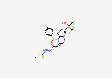 CSC(=S)NNC(=O)C[C@@H]1CCc2cc(C(O)(C(F)(F)F)C(F)(F)F)ccc2N1[S+]([O-])c1ccc(F)cc1